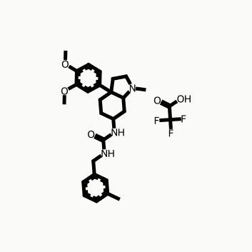 COc1ccc(C23CCC(NC(=O)NCc4cccc(C)c4)CC2N(C)CC3)cc1OC.O=C(O)C(F)(F)F